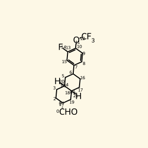 O=C[C@@H]1CC[C@@H]2CC(c3ccc(OC(F)(F)F)c(F)c3)CC[C@@H]2C1